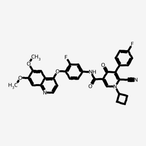 COc1cc2nccc(Oc3ccc(NC(=O)c4cn(C5CCC5)c(C#N)c(-c5ccc(F)cc5)c4=O)cc3F)c2cc1OC